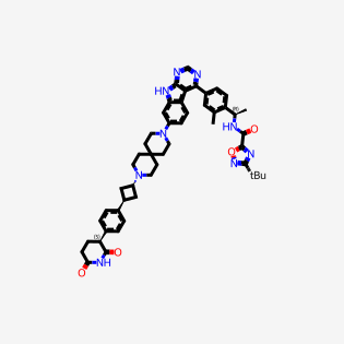 Cc1cc(-c2ncnc3[nH]c4cc(N5CCC6(CC5)CCN([C@H]5C[C@H](c7ccc([C@@H]8CCC(=O)NC8=O)cc7)C5)CC6)ccc4c23)ccc1[C@@H](C)NC(=O)c1nc(C(C)(C)C)no1